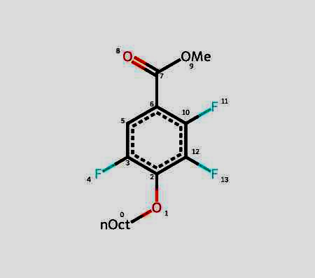 CCCCCCCCOc1c(F)cc(C(=O)OC)c(F)c1F